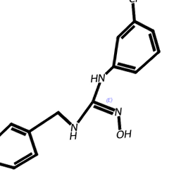 O/N=C(\NCc1ccccc1)Nc1cccc(Cl)c1